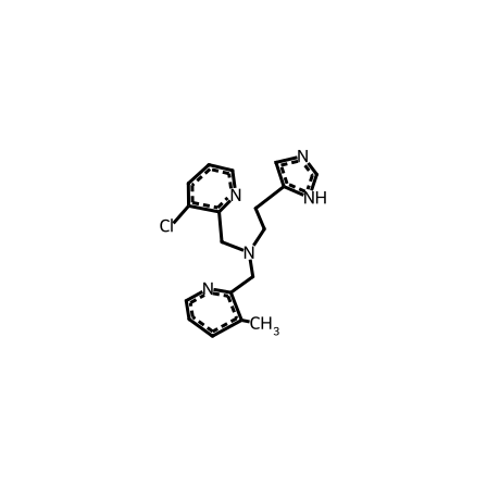 Cc1cccnc1CN(CCc1cnc[nH]1)Cc1ncccc1Cl